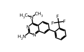 CN(C)c1nc(N)nc2cc(-c3ccccc3C(F)(F)F)ccc12